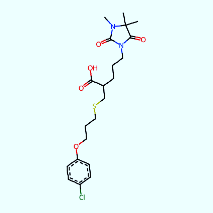 CN1C(=O)N(CCCC(CSCCCOc2ccc(Cl)cc2)C(=O)O)C(=O)C1(C)C